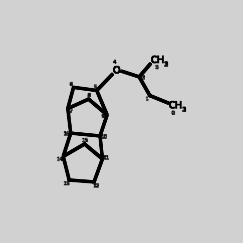 CCC(C)OC1CC2CC1C1C3CCC(C3)C21